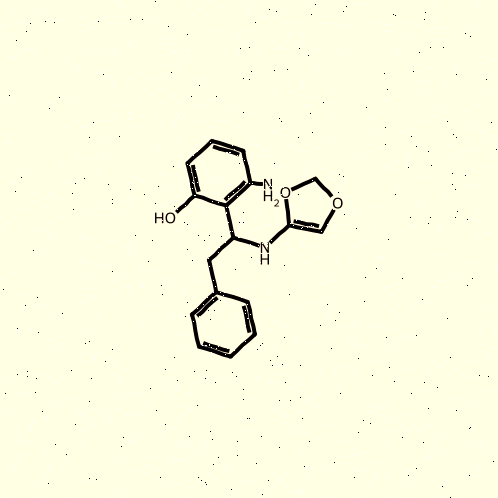 Nc1cccc(O)c1C(Cc1ccccc1)NC1=COCO1